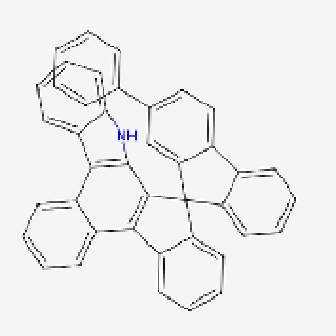 c1ccc(-c2ccc3c(c2)C2(c4ccccc4-3)c3ccccc3-c3c2c2[nH]c4ccccc4c2c2ccccc32)cc1